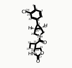 Cc1ccc(C2[C@H]3CN(C(=O)C4CC[C@@]45COC(=O)N5)C[C@@H]23)cc1Cl